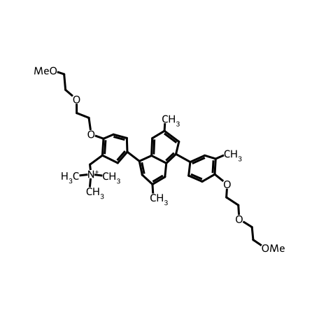 COCCOCCOc1ccc(-c2cc(C)cc3c(-c4ccc(OCCOCCOC)c(C[N+](C)(C)C)c4)cc(C)cc23)cc1C